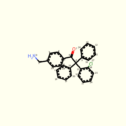 NCc1ccc(C(=O)C(c2ccccc2)(c2ccccc2)c2ccccc2Cl)cc1